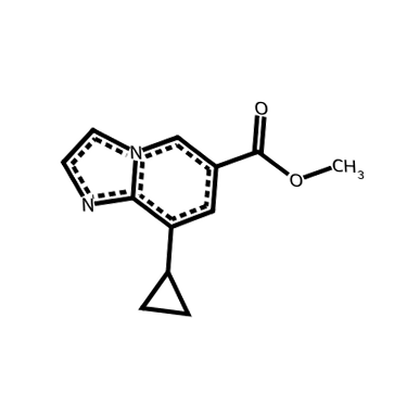 COC(=O)c1cc(C2CC2)c2nccn2c1